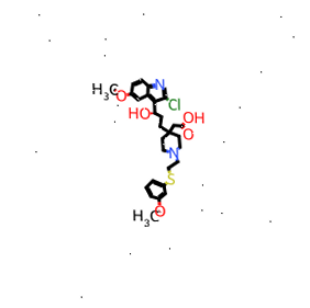 COc1cccc(SCCN2CCC(CC[C@@H](O)c3c(Cl)cnc4ccc(OC)cc34)(CC(=O)O)CC2)c1